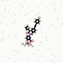 CC1(C)OC(=O)c2cc(N(Cc3ccc(C#Cc4ccc(Cl)cc4)cc3)C(=O)Cc3cccs3)ccc2O1